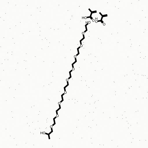 C=C(C)C(=O)O.C=C(C)C(=O)O.CC(O)COCCOCCOCCOCCOCCOCCOCCOCCOCCO